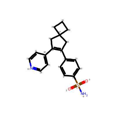 NS(=O)(=O)c1ccc(C2=C(c3ccncc3)CC3(CCC3)C2)cc1